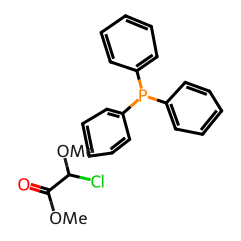 COC(=O)C(Cl)OC.c1ccc(P(c2ccccc2)c2ccccc2)cc1